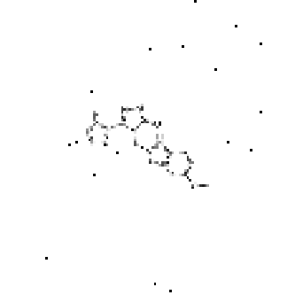 COc1ccc2[nH]c(C=C3C(=O)NN=C3c3ncc[nH]3)cc2c1